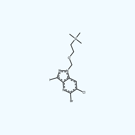 C[Si](C)(C)CCOCn1nc(I)c2nc(Br)c(Cl)cc21